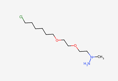 CN(N)CCOCCOCCCCCCCl